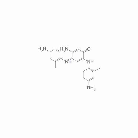 Cc1cc(N)ccc1/N=C1/C=C(Nc2ccc(N)cc2C)C(=O)C=C1N